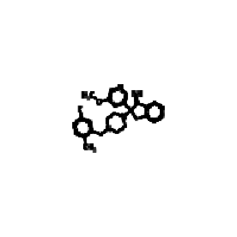 COc1cncc(C2(N3CCN(Cc4cc(F)ccc4C)CC3)Cc3ccccc3C2=N)c1